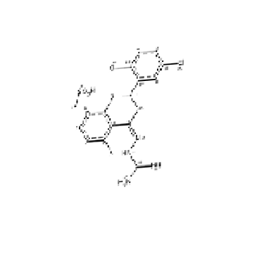 CS(=O)(=O)O.Cc1ccnc2c1/C(=N\NC(=N)N)CC(c1cc(Cl)ccc1Cl)C2